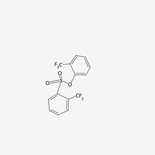 O=S(=O)(Oc1ccccc1C(F)(F)F)c1ccccc1C(F)(F)F